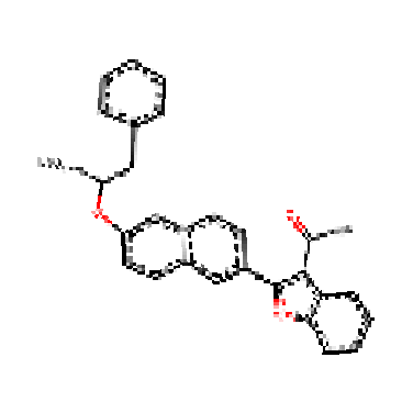 CCCCC(=O)c1c(-c2ccc3cc(OC(Cc4ccccc4)C(=O)OCC)ccc3c2)oc2ccccc12